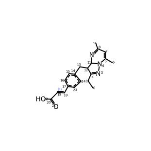 CCC1=NN2C(C)=CC(C)=NC2C1Cc1ccc(/C=C/C(=O)O)cc1